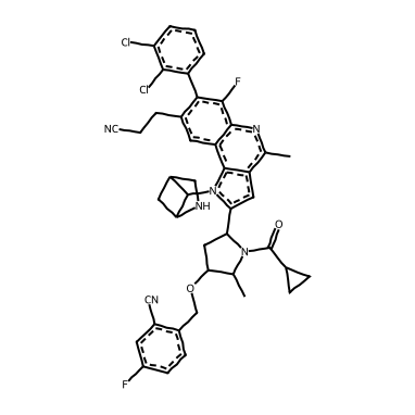 Cc1nc2c(F)c(-c3cccc(Cl)c3Cl)c(CCC#N)cc2c2c1cc(C1CC(OCc3ccc(F)cc3C#N)C(C)N1C(=O)C1CC1)n2C1C2CNC1C2